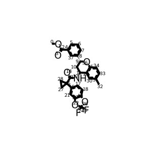 COC(=O)c1cccc([C@H]2C[C@H](NC(=O)C3(c4ccc5c(c4)OC(F)(F)O5)CC3)c3cc(C)ccc3O2)c1